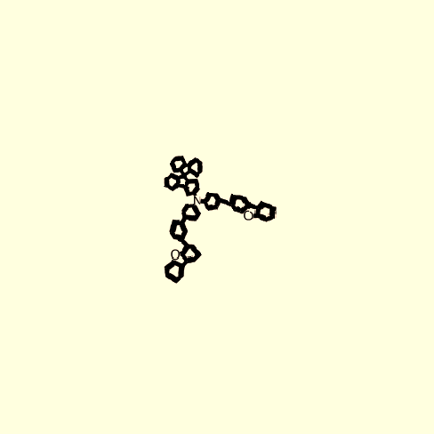 c1ccc(C2(c3ccccc3)c3ccccc3-c3cc(N(c4ccc(-c5cccc(-c6cccc7c6oc6ccccc67)c5)cc4)c4ccc(-c5ccc6c(c5)oc5ccccc56)cc4)ccc32)cc1